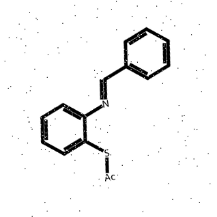 CC(=O)Sc1ccccc1N=Cc1ccccc1